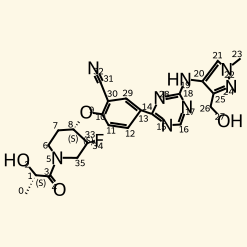 C[C@H](O)C(=O)N1CC[C@H](Oc2ccc(-c3ncnc(Nc4cn(C)nc4CO)n3)cc2C#N)[C@@H](F)C1